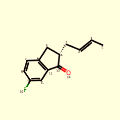 CC=CC[C@H]1Cc2ccc(F)cc2C1=O